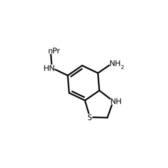 CCCNC1=CC(N)C2NCSC2=C1